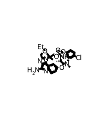 CCOCc1nc2c(N)nc3ccccc3c2n1C(C)(C)COP(=O)(N[C@@H](C)C(=O)N(C)C)Oc1ccc(Cl)cc1